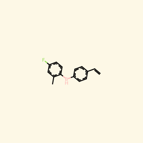 C=Cc1ccc(Bc2ccc(F)cc2C)cc1